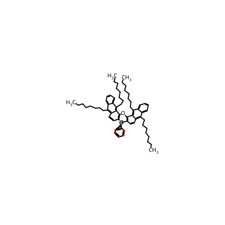 CCCCCCCCc1c2ccccc2c(CCCCCCCC)c2c(Oc3c(Oc4ccccc4)ccc4c(CCCCCCCC)c5ccccc5c(CCCCCCCC)c34)c(Oc3ccccc3)ccc12